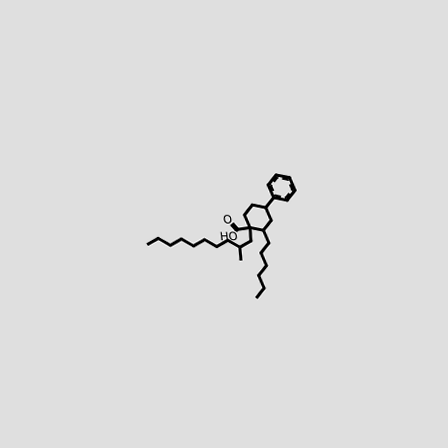 CCCCCCCCC(C)CC1(C(=O)O)CCC(c2ccccc2)CC1CCCCCC